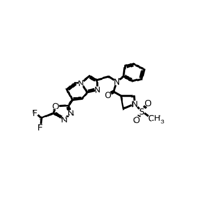 CS(=O)(=O)N1CC(C(=O)N(Cc2cn3ccc(-c4nnc(C(F)F)o4)cc3n2)c2ccccc2)C1